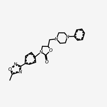 Cc1nc(-c2ccc(N3CC(CN4CCN(c5ccccc5)CC4)OC3=O)cc2)no1